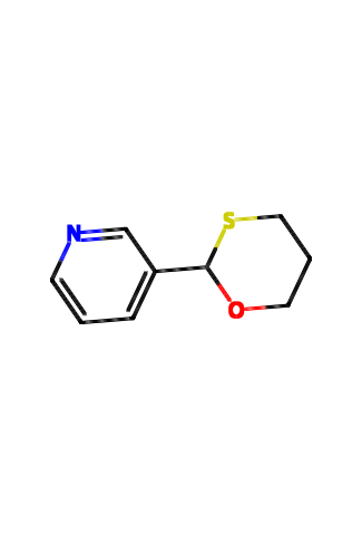 c1cncc(C2OCCCS2)c1